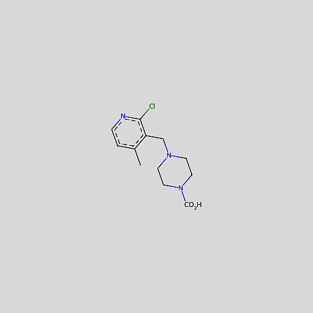 Cc1ccnc(Cl)c1CN1CCN(C(=O)O)CC1